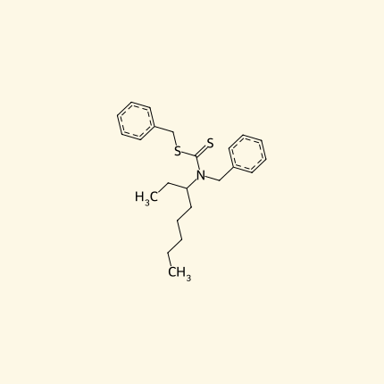 CCCCCC(CC)N(Cc1ccccc1)C(=S)SCc1ccccc1